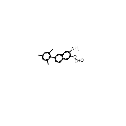 Cc1cc(C)c(-c2ccc3cc(OC=O)c(N)cc3c2)c(C)c1